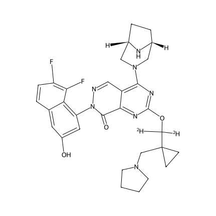 [2H]C([2H])(Oc1nc(N2C[C@H]3CC[C@@H](C2)N3)c2cnn(-c3cc(O)cc4ccc(F)c(F)c34)c(=O)c2n1)C1(CN2CCCC2)CC1